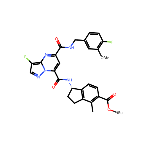 COc1cc(CNC(=O)c2cc(C(=O)N[C@H]3CCc4c3ccc(C(=O)OC(C)(C)C)c4C)n3ncc(F)c3n2)ccc1F